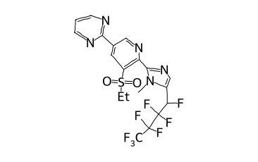 CCS(=O)(=O)c1cc(-c2ncccn2)cnc1-c1ncc(C(F)C(F)(F)C(F)(F)C(F)(F)F)n1C